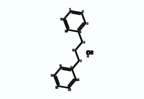 [CH].c1ccc(CCCc2ccccc2)cc1